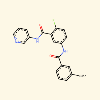 COc1cccc(C(=O)Nc2ccc(F)c(C(=O)Nc3cccnc3)c2)c1